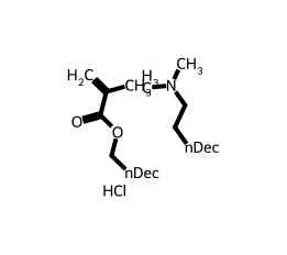 C=C(C)C(=O)OCCCCCCCCCCC.CCCCCCCCCCCCN(C)C.Cl